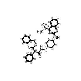 CN(C)c1nc(N[C@H]2CC[C@@H](CNC(=O)C(C(=O)OCc3ccccc3)c3ccccc3)CC2)nc2ccccc12